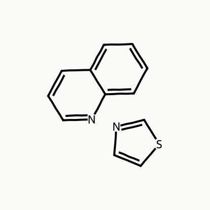 c1ccc2ncccc2c1.c1cscn1